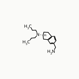 CCCN(CCC)[C@@H]1CCc2ccc(CN)cc2C1